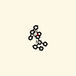 c1ccc(-c2cc(-c3cccc(-n4c5ccccc5c5ccc6c7ccccc7n(-c7ccccc7)c6c54)c3)nc(-c3ccccc3-c3ccccc3)c2)cc1